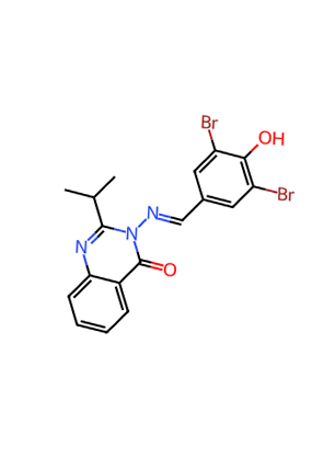 CC(C)c1nc2ccccc2c(=O)n1N=Cc1cc(Br)c(O)c(Br)c1